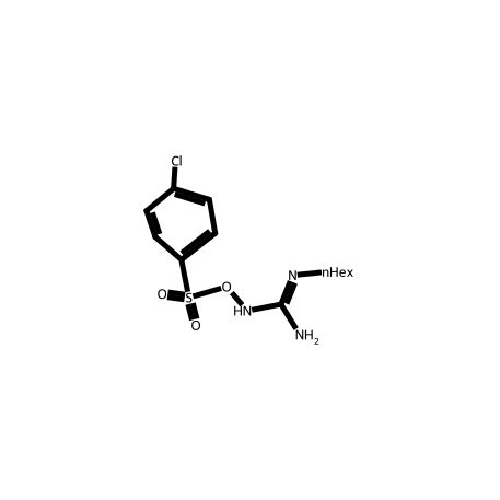 CCCCCCN=C(N)NOS(=O)(=O)c1ccc(Cl)cc1